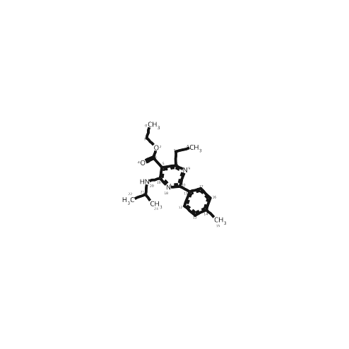 CCOC(=O)c1c(CC)nc(-c2ccc(C)cc2)nc1NC(C)C